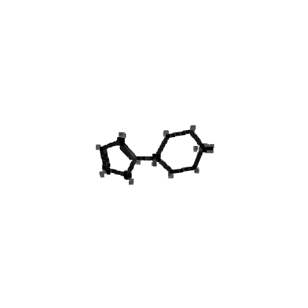 c1noc(N2CCNCC2)n1